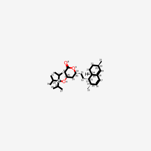 CC(C)[Si](O[C@H]1CC(=O)O[C@H](CC[C@H]2[C@@H](C)C=CC3=C[C@H](C)C[CH][C@@H]32)C1)(C(C)C)C(C)C